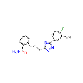 N#Cc1cc(-c2n[nH]c([CH]CCc3ccccc3C(N)=O)n2)ccc1F